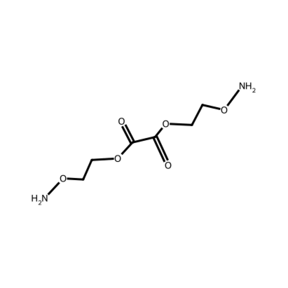 NOCCOC(=O)C(=O)OCCON